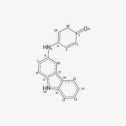 O=C1C=CC(Nc2ccc3[nH]c4ccccc4c3c2)=CC1